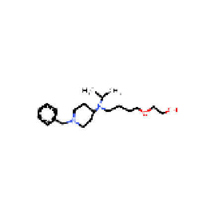 CC(C)N(CCCCOCCO)C1CCN(Cc2ccccc2)CC1